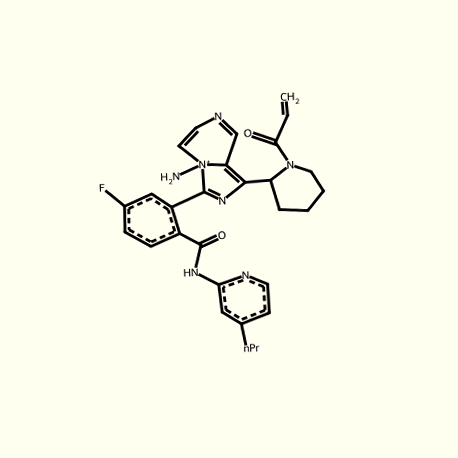 C=CC(=O)N1CCCCC1C1=C2C=NC=C[N+]2(N)C(c2cc(F)ccc2C(=O)Nc2cc(CCC)ccn2)=N1